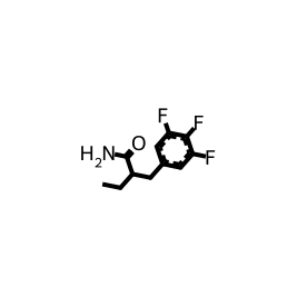 CCC(Cc1cc(F)c(F)c(F)c1)C(N)=O